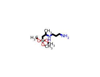 CO[Si](CC(C)NCCCN)(OC)OC